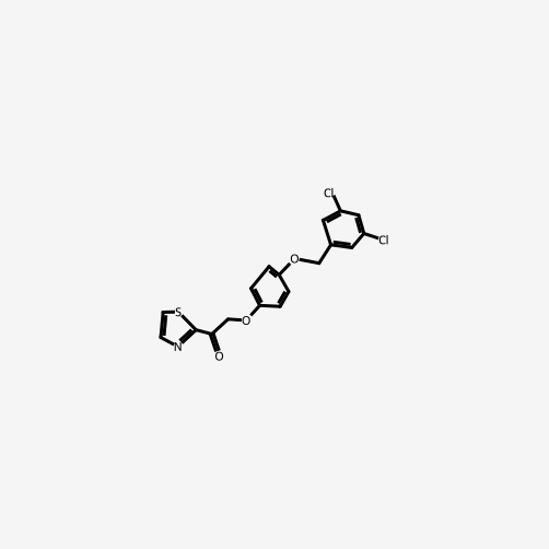 O=C(COc1ccc(OCc2cc(Cl)cc(Cl)c2)cc1)c1nccs1